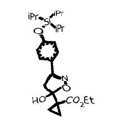 CCOC(=O)C1(C2(O)CC(c3ccc(O[Si](C(C)C)(C(C)C)C(C)C)cc3)=NO2)CC1